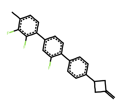 C=C1CC(c2ccc(-c3ccc(-c4ccc(C)c(F)c4F)cc3F)cc2)C1